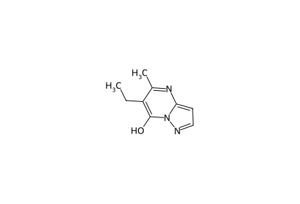 CCc1c(C)nc2ccnn2c1O